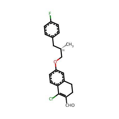 C[C@H](COc1ccc2c(c1)CCC(C=O)=C2Cl)Cc1ccc(F)cc1